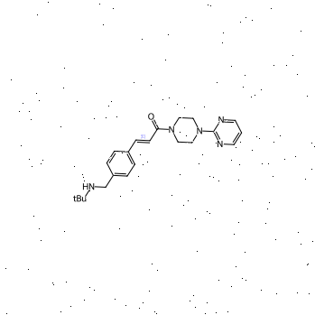 CC(C)(C)NCc1ccc(/C=C/C(=O)N2CCN(c3ncccn3)CC2)cc1